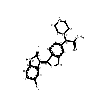 NC(=O)C(c1ccc2c(c1)COC2=C1C(=O)Nc2ccc(Cl)cc21)N1CCOCC1